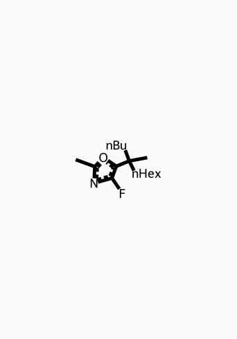 CCCCCCC(C)(CCCC)c1oc(C)nc1F